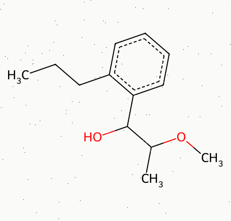 CCCc1ccccc1C(O)C(C)OC